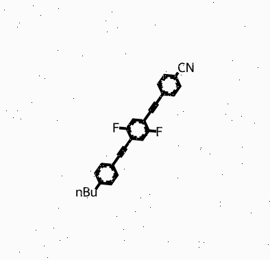 CCCCc1ccc(C#Cc2cc(F)c(C#Cc3ccc(C#N)cc3)cc2F)cc1